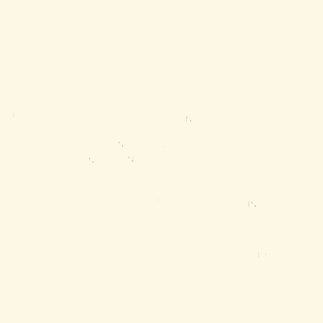 C[C@H](O)CNCc1cc(C(F)(F)F)c2oc(-c3cccc(-c4ccc(F)cc4-c4nncn4C)c3)nc2c1